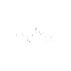 N=C(N)SOC(=O)NCc1ccccc1